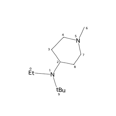 CCN(C1CCN(C)CC1)C(C)(C)C